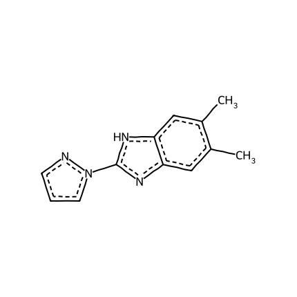 Cc1cc2nc(-n3cccn3)[nH]c2cc1C